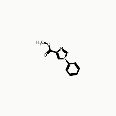 COC(=O)c1cn(-c2ccccc2)[c]n1